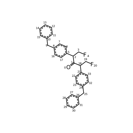 O=C(C(CF)c1ccc(Cc2ccccc2)cc1)C(CF)c1ccc(Cc2ccccc2)cc1